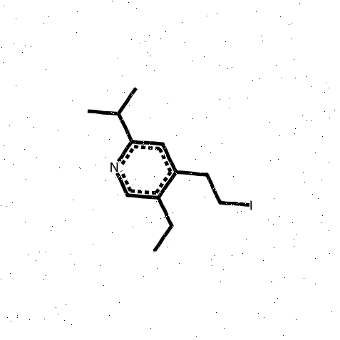 CCc1cnc(C(C)C)cc1CCI